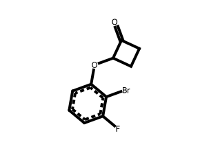 O=C1CCC1Oc1cccc(F)c1Br